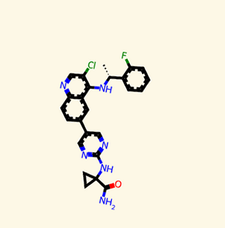 C[C@@H](Nc1c(Cl)cnc2ccc(-c3cnc(NC4(C(N)=O)CC4)nc3)cc12)c1ccccc1F